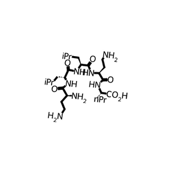 CCC[C@H](NC(=O)[C@H](CCN)NC(=O)[C@H](CC(C)C)NC(=O)[C@@H](CC(C)C)NC(=O)[C@@H](N)CCN)C(=O)O